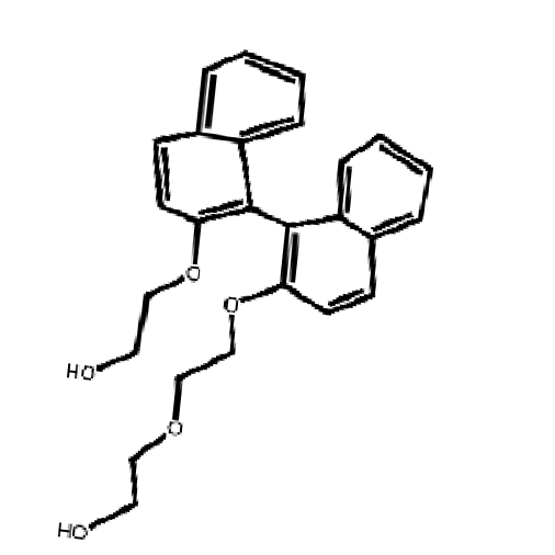 OCCOCCOc1ccc2ccccc2c1-c1c(OCCO)ccc2ccccc12